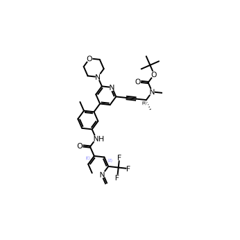 C=N/C(=C\C(=C/C)C(=O)Nc1ccc(C)c(-c2cc(C#C[C@@H](C)N(C)C(=O)OC(C)(C)C)nc(N3CCOCC3)c2)c1)C(F)(F)F